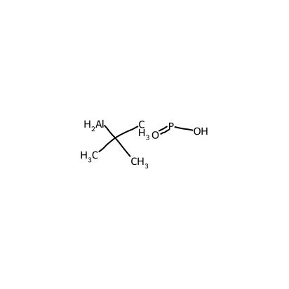 C[C](C)(C)[AlH2].O=PO